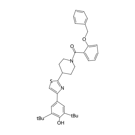 CC(C)(C)c1cc(-c2csc(C3CCN(C(=O)c4ccccc4OCc4ccccc4)CC3)n2)cc(C(C)(C)C)c1O